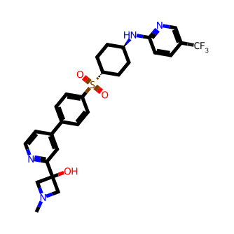 CN1CC(O)(c2cc(-c3ccc(S(=O)(=O)[C@H]4CC[C@H](Nc5ccc(C(F)(F)F)cn5)CC4)cc3)ccn2)C1